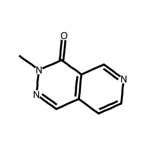 Cn1ncc2ccncc2c1=O